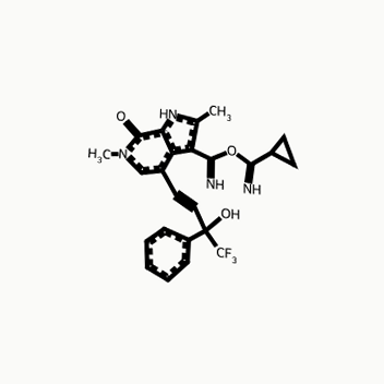 Cc1[nH]c2c(=O)n(C)cc(C#CC(O)(c3ccccc3)C(F)(F)F)c2c1C(=N)OC(=N)C1CC1